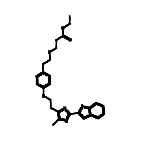 CCOC(=O)CCOCCc1ccc(OCCc2nc(-c3cc4ccccc4s3)oc2C)cc1